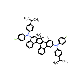 CC(C)c1ccc(N(c2ccc(F)cc2)c2ccc3c4c(c5ccccc5c3c2)-c2c(cc(N(c3ccc(F)cc3)c3ccc(C(C)C)cc3)c3ccccc23)C4(C)C)cc1